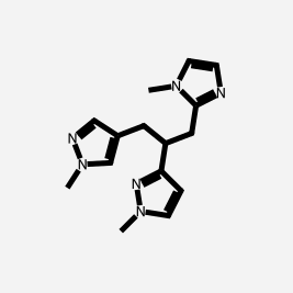 Cn1cc(CC(Cc2nccn2C)c2ccn(C)n2)cn1